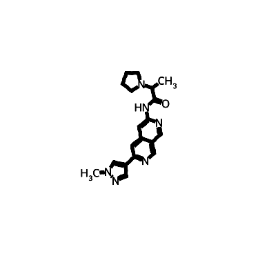 CC(C(=O)Nc1cc2cc(-c3cnn(C)c3)ncc2cn1)N1CCCC1